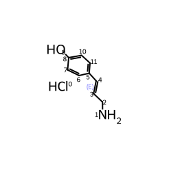 Cl.NC/C=C/c1ccc(O)cc1